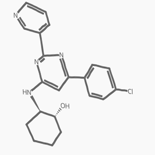 O[C@@H]1CCCC[C@H]1Nc1cc(-c2ccc(Cl)cc2)nc(-c2cccnc2)n1